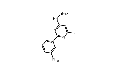 CCCCCCNc1cc(C)nc(-c2cccc(N)c2)n1